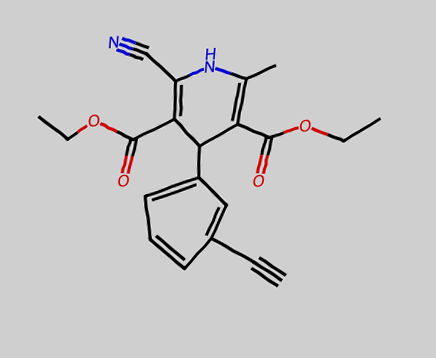 C#Cc1cccc(C2C(C(=O)OCC)=C(C)NC(C#N)=C2C(=O)OCC)c1